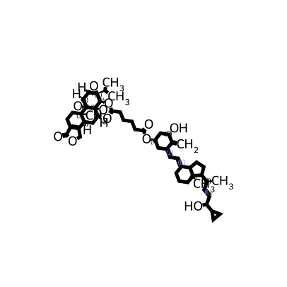 C=C1/C(=C\C=C2/CCC[C@@]3(C)C2CCC3[C@@H](C)/C=C/C(O)C2CC2)C[C@@H](OC(=O)CCCCC(=O)O[C@@H]2[C@@]3(C(C)C)O[C@H]3[C@@H]3O[C@]34[C@]23O[C@H]3C[C@H]2C3=C(CC[C@@]24C)C(=O)OC3)C[C@@H]1O